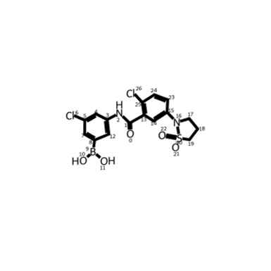 O=C(Nc1cc(Cl)cc(B(O)O)c1)c1cc(N2CCCS2(=O)=O)ccc1Cl